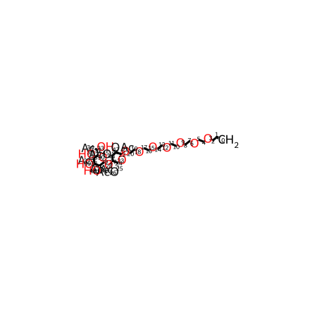 C=CCOCCOCCOCCOCCOCCOCCO[C@H]1O[C@H](COC(C)=O)[C@@H](O[C@@H]2O[C@H](C(O)C(C)=O)[C@@](O)(C(C)=O)[C@@](O)(C(C)=O)[C@]2(O)C(C)=O)[C@H](OC(C)=O)[C@H]1OC(C)=O